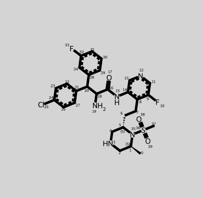 C[C@H]1CNC[C@H](CCc2c(F)cncc2NC(=O)C(N)C(c2ccc(Cl)cc2)c2cccc(F)c2)N1S(C)(=O)=O